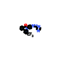 O=C(Nc1ccc(NCCc2cnccn2)cc1)c1ccccc1-c1ccc(C(F)(F)F)cc1